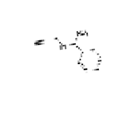 C#CCNC(c1ccccc1)[N+](=O)[O-]